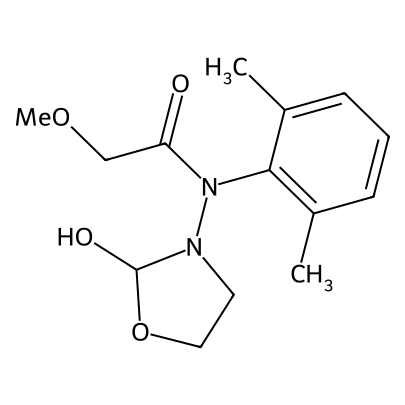 COCC(=O)N(c1c(C)cccc1C)N1CCOC1O